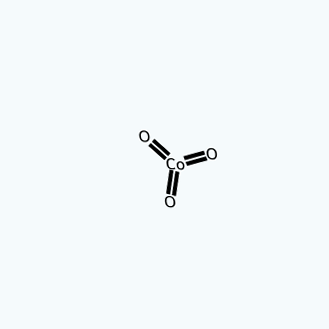 [O]=[Co](=[O])=[O]